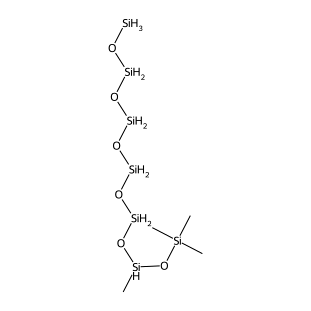 C[SiH](O[SiH2]O[SiH2]O[SiH2]O[SiH2]O[SiH3])O[Si](C)(C)C